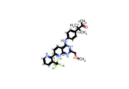 COCc1nc(Nc2ccc(C(C)(C)C(C)=O)cc2)c2ccc(-c3ncccc3C(F)(F)F)nc2n1